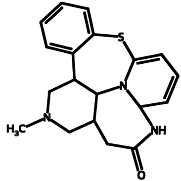 CN1CC2CC(=O)NC3C=CC=C4Sc5ccccc5C(C1)C2N43